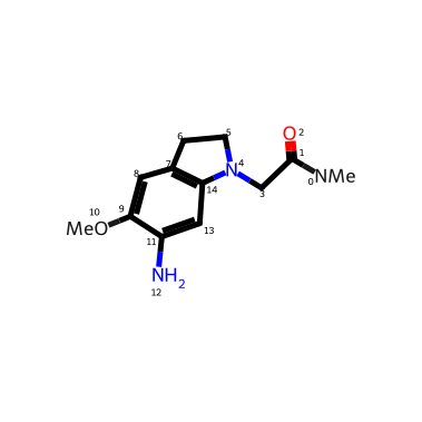 CNC(=O)CN1CCc2cc(OC)c(N)cc21